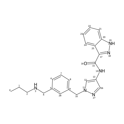 CCCNCc1cccc(Cn2cc(NC(=O)c3n[nH]c4ccccc34)cn2)c1